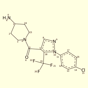 NC1CCN(C(=O)c2cnn(-c3ccc(Cl)cc3)c2C(F)(F)F)CC1